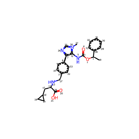 CC(OC(=O)Nc1c(-c2ccc(CNC(CC3CC3)C(=O)O)cc2)ncn1C)c1ccccc1